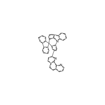 c1ccc2c(c1)-c1ccccc1C21c2cc(-c3ccc4ccc5cccnc5c4n3)ccc2-n2c3ccccc3c3cccc1c32